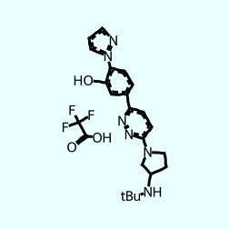 CC(C)(C)NC1CCN(c2ccc(-c3ccc(-n4cccn4)c(O)c3)nn2)C1.O=C(O)C(F)(F)F